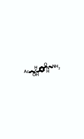 CC(=O)CCC(O)=[SH]Cc1ccc(C(=O)NCCN)cc1